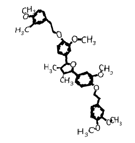 COc1ccc(CCOc2ccc(C3OC(c4ccc(OCCc5ccc(OC)c(OC)c5)c(OC)c4)[C@H](C)[C@H]3C)cc2OC)cc1C